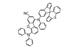 N#Cc1cc(N(c2ccccc2)c2ccc3c(c2)C2(c4ccccc4Sc4ccccc42)c2ccccc2-3)c2c(c1)oc1c(N(c3ccccc3)c3ccccc3)cccc12